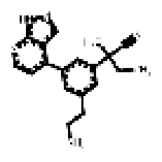 CCC(C)(C#N)c1cc(CCN)cc(-c2ccnc3[nH]ncc23)c1